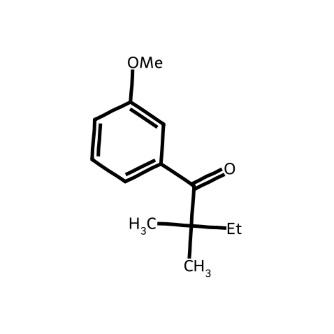 CCC(C)(C)C(=O)c1cccc(OC)c1